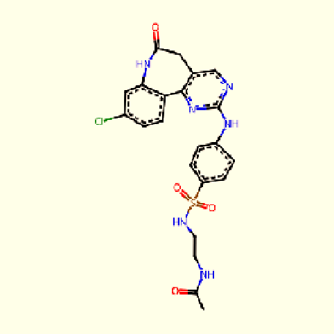 CC(=O)NCCNS(=O)(=O)c1ccc(Nc2ncc3c(n2)-c2ccc(Cl)cc2NC(=O)C3)cc1